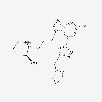 O[C@H]1CCCN[C@@H]1CCCn1cnc2cc(Cl)cc(-c3cnn(CC4OCCO4)c3)c21